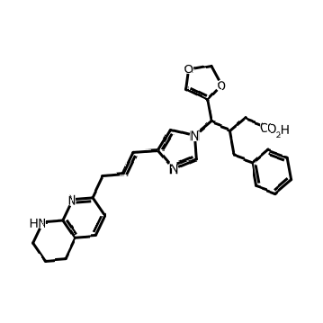 O=C(O)CC(Cc1ccccc1)C(C1=COCO1)n1cnc(C=CCc2ccc3c(n2)NCCC3)c1